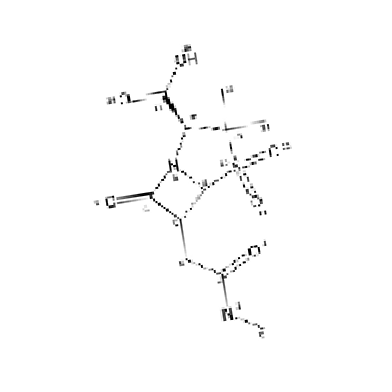 CNC(=O)/C=C1/C(=O)N2C1S(=O)(=O)C(C)(C)[C@@H]2C(=O)O